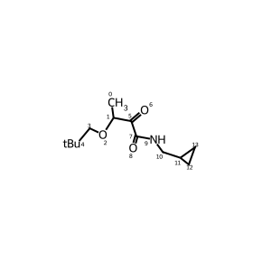 CC(OCC(C)(C)C)C(=O)C(=O)NCC1CC1